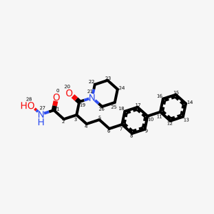 O=C(CC(CCCc1ccc(-c2ccccc2)cc1)C(=O)N1CCCCC1)NO